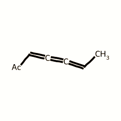 CC=C=C=CC(C)=O